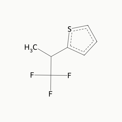 CC(c1cccs1)C(F)(F)F